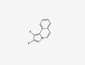 Fc1cn2ccc3ccccc3c2c1F